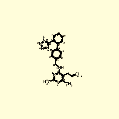 C=CCc1c(C)nc(C)nc1NCc1ccc(-c2ccccc2-c2nnn[nH]2)cc1